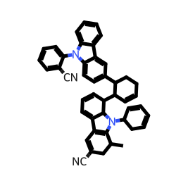 CC1CC(C#N)=CC2=C1N(C1C=CC=CC1)C1C2=CC=CC1C1C=CCCC1c1ccc2c(c1)c1ccccc1n2-c1ccccc1C#N